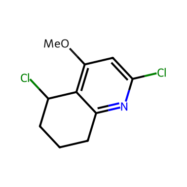 COc1cc(Cl)nc2c1C(Cl)CCC2